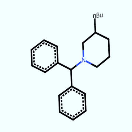 CCCCC1CCCN(C(c2ccccc2)c2ccccc2)C1